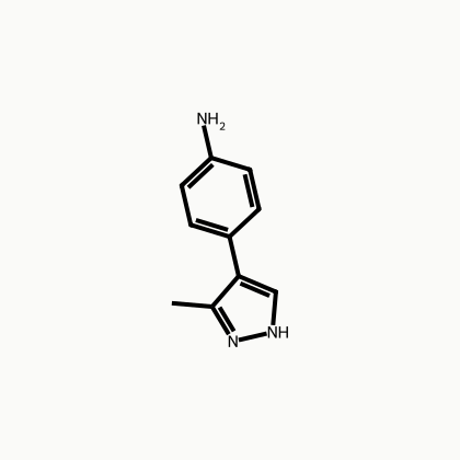 Cc1n[nH]cc1-c1ccc(N)cc1